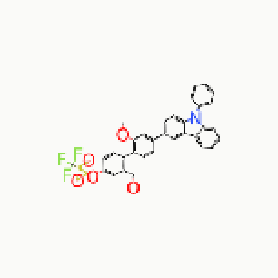 COc1cc(-c2ccc3c(c2)c2ccccc2n3-c2ccccc2)ccc1-c1ccc(OS(=O)(=O)C(F)(F)F)cc1C=O